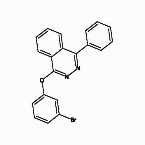 Brc1cccc(Oc2nnc(-c3ccccc3)c3ccccc23)c1